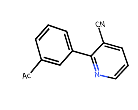 CC(=O)c1cccc(-c2ncccc2C#N)c1